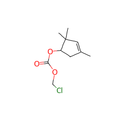 CC1=CC(C)(C)C(OC(=O)OCCl)C1